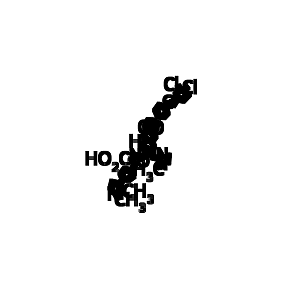 Cc1nccc(-c2ccc(C[C@H](NC(=O)[C@@H]3Cc4cc5c(cc4CN3Cc3nccn3C)O[C@@H](c3ccc(OCc4ccc(Cl)c(Cl)c4)cc3)CO5)C(=O)O)cc2)c1C